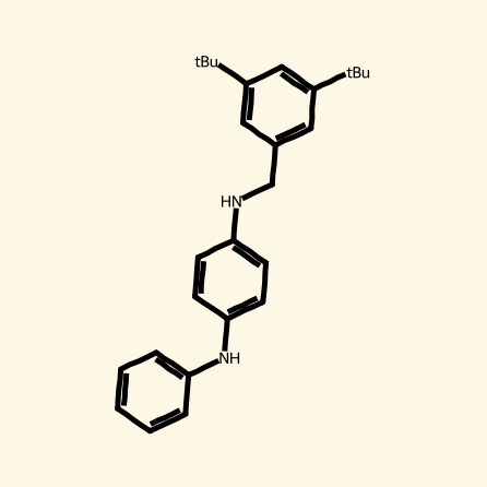 CC(C)(C)c1cc(CNc2ccc(Nc3ccccc3)cc2)cc(C(C)(C)C)c1